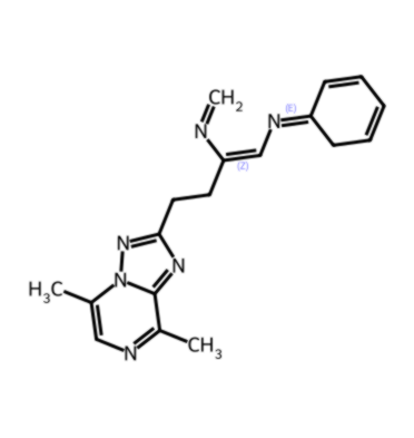 C=N/C(=C\N=C1\C=CC=CC1)CCc1nc2c(C)ncc(C)n2n1